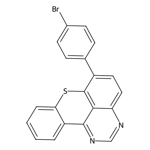 Brc1ccc(-c2ccc3ncnc4c3c2Sc2ccccc2-4)cc1